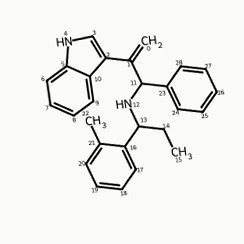 C=C(c1c[nH]c2ccccc12)C(NC(CC)c1ccccc1C)c1ccccc1